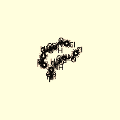 O=C(CNS(=O)(=O)c1ccc(CNC(=O)c2ccc(Cl)cc2)s1)Nc1cccc(S(=O)(=O)C(F)(F)F)c1.O=C(NCc1ccc(S(=O)(=O)NCC(=O)N2CCC(n3nnc4ccccc43)CC2)s1)c1ccc(Cl)cc1